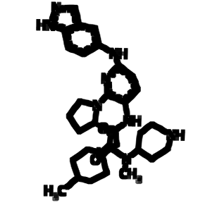 CC1CCN(CC(=O)Nc2ccc(Nc3ccc4[nH]ncc4c3)nc2N2CCC[C@@H]2OC(=O)N(C)C2CCNCC2)CC1